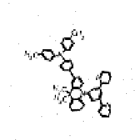 Cc1ccc(N(c2ccc(C)cc2)c2ccc(-c3ccc4c(c3)C(C)(C)c3ccccc3N4c3cc(-c4ccccn4)cc(-c4ccccn4)c3)cc2)cc1